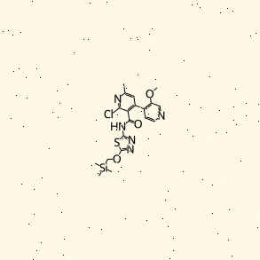 COc1cnccc1-c1cc(C)nc(Cl)c1C(=O)Nc1nnc(OC[Si](C)(C)C)s1